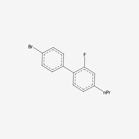 CCCc1ccc(-c2ccc(Br)cc2)c(F)c1